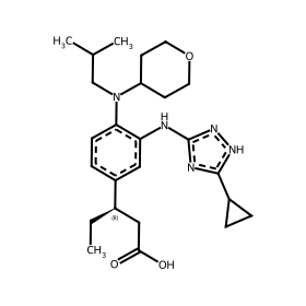 CC[C@H](CC(=O)O)c1ccc(N(CC(C)C)C2CCOCC2)c(Nc2n[nH]c(C3CC3)n2)c1